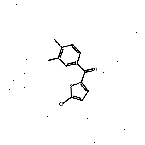 Cc1ccc(C(=O)c2ccc(Cl)s2)cc1C